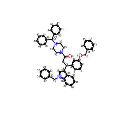 O=C(CC(c1cccc(OCc2ccccc2)c1)c1cn(Cc2ccccc2)c2ccccc12)N1CCN(C(c2ccccc2)c2ccccc2)CC1